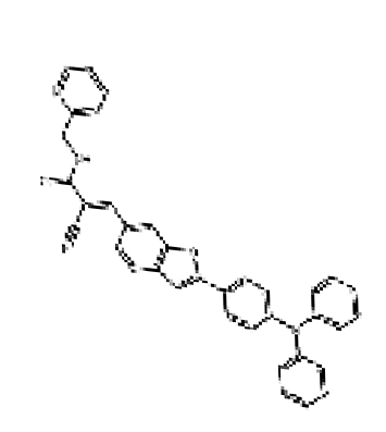 N#C/C(=C\c1ccc2cc(-c3ccc(N(c4ccccc4)c4ccccc4)cc3)oc2c1)C(=O)NCc1ccccn1